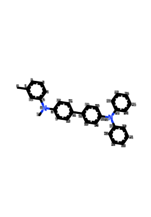 Cc1cccc(N(C)c2ccc(-c3ccc(N(c4ccccc4)c4ccccc4)cc3)cc2)c1